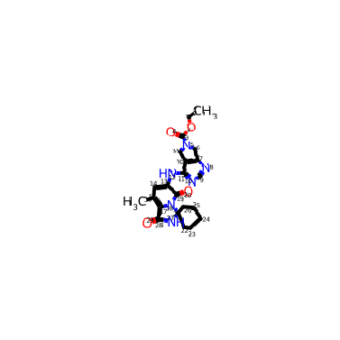 CCOC(=O)N1Cc2ncnc(Nc3cc(C)c4n(c3=O)C3(CCCCC3)NC4=O)c2C1